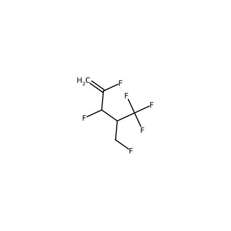 C=C(F)C(F)C(CF)C(F)(F)F